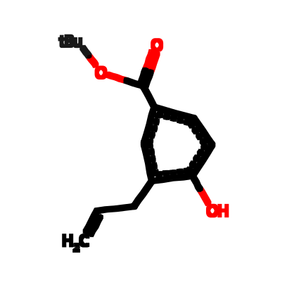 C=CCc1cc(C(=O)OC(C)(C)C)ccc1O